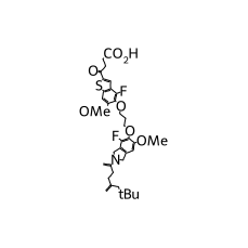 C=C(CCC(=C)N1Cc2cc(OC)c(OCCCOc3c(OC)cc4sc(C(=O)CCC(=O)O)cc4c3F)c(F)c2C1)CC(C)(C)C